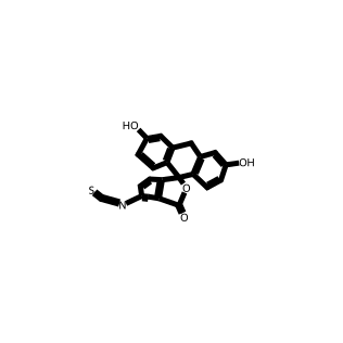 O=C1OC2(c3ccc(O)cc3Cc3cc(O)ccc32)c2ccc(N=C=S)cc21